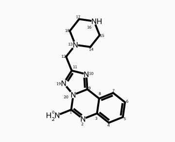 Nc1nc2ccccc2c2nc(CN3CCNCC3)nn12